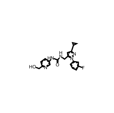 O=C(NCc1cc(C2CC2)nn1-c1cccc(F)c1)Nc1ccc(CO)nc1